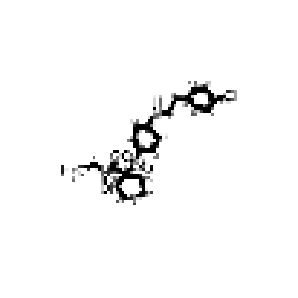 CCN(O)C(=O)C1(S(=O)(=O)c2ccc(NCCc3ccc(Cl)cc3)cc2)CCNCC1